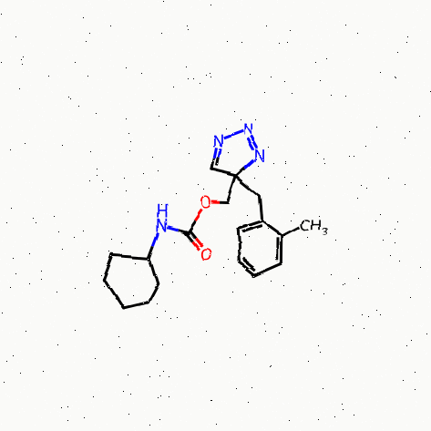 Cc1ccccc1CC1(COC(=O)NC2CCCCC2)C=NN=N1